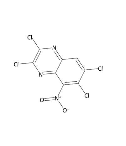 O=[N+]([O-])c1c(Cl)c(Cl)cc2nc(Cl)c(Cl)nc12